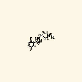 Cc1ccc(F)c(-c2nc(CN3CCN([C]=O)CC3)no2)c1